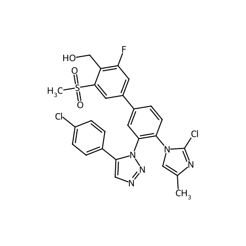 Cc1cn(-c2ccc(-c3cc(F)c(CO)c(S(C)(=O)=O)c3)cc2-n2nncc2-c2ccc(Cl)cc2)c(Cl)n1